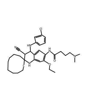 CCOc1cc2c(cc1NC(=O)CCCN(C)C)C(Nc1cccc(Cl)c1)C(C#N)C1(CCCCCCCCC1)N2